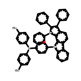 CC(C)(C)c1ccc(N(c2ccc(-n3c4ccccc4c4ccc5c(-c6ccccc6)c(-c6ccccc6)n(-c6ccccc6)c5c43)cc2)c2ccc(C(C)(C)C)cc2)cc1